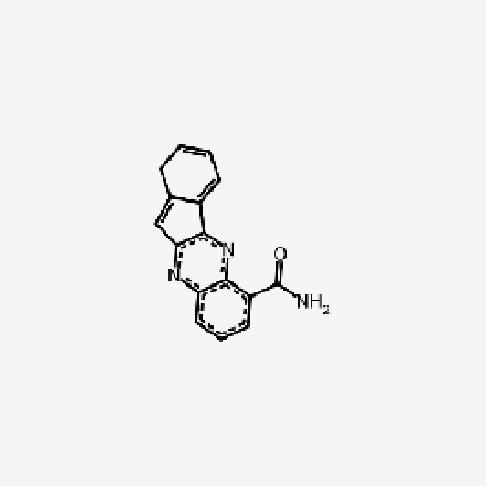 NC(=O)c1cccc2nc3c(nc12)C1=CC=CCC1=C3